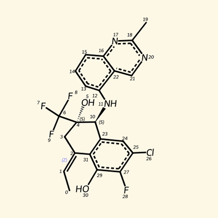 C/C=C1/C[C@@](O)(C(F)(F)F)[C@@H](Nc2cccc3nc(C)ncc23)c2cc(Cl)c(F)c(O)c21